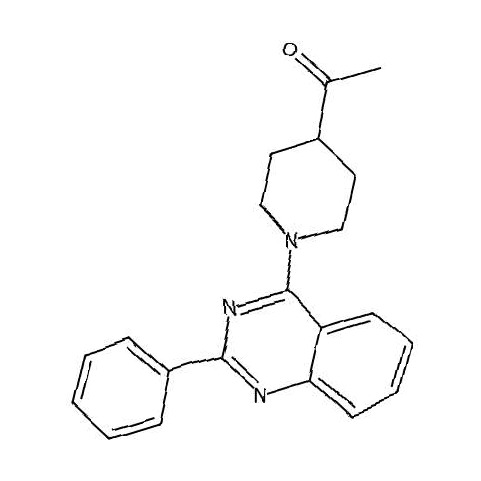 CC(=O)C1CCN(c2nc(-c3ccccc3)nc3ccccc23)CC1